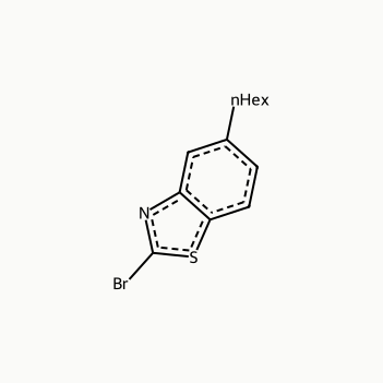 CCCCCCc1ccc2sc(Br)nc2c1